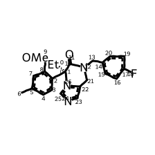 CC[C@]1(c2ccc(C)cc2OC)C(=O)N(Cc2ccc(F)cc2)Cc2cncn21